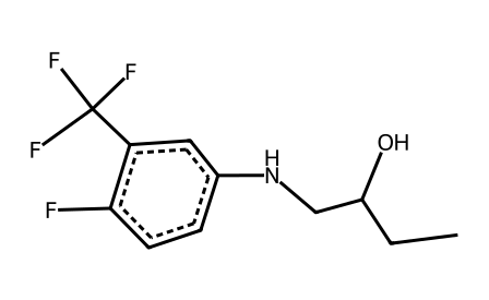 CCC(O)CNc1ccc(F)c(C(F)(F)F)c1